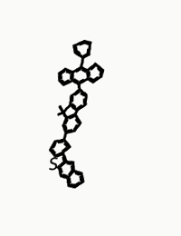 CC1(C)c2cc(-c3ccc4sc5cc6ccccc6cc5c4c3)ccc2-c2ccc(-c3c4ccccc4c(-c4ccccc4)c4ccccc34)cc21